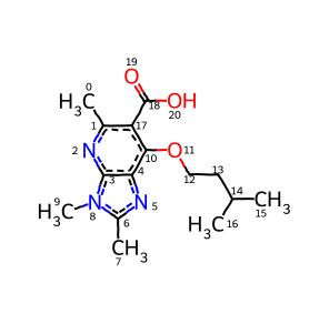 Cc1nc2c(nc(C)n2C)c(OCCC(C)C)c1C(=O)O